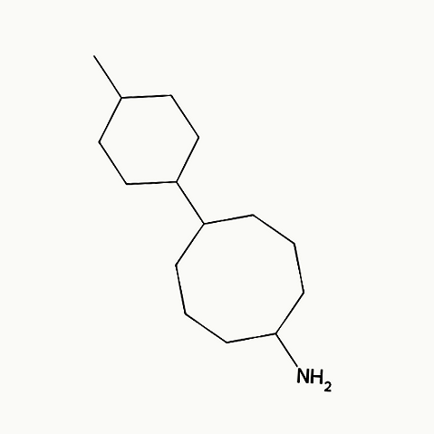 CC1CCC(C2CCCC(N)CCC2)CC1